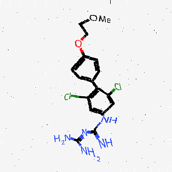 COCCOc1ccc(-c2c(Cl)cc(NC(=N)N=C(N)N)cc2Cl)cc1